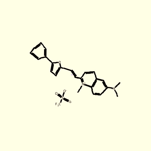 CN(C)c1ccc2c(ccc(/C=C/c3ccc(-c4ccccc4)o3)[n+]2C)c1.O=S(=O)([O-])C(F)(F)F